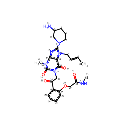 CC=CCn1c(N2CCCC(N)C2)nc2c1c(=O)n(CC(=O)c1ccccc1OCC(=O)NCC)c(=O)n2C